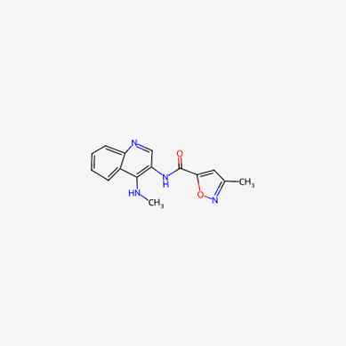 CNc1c(NC(=O)c2cc(C)no2)cnc2ccccc12